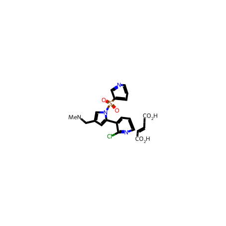 CNCc1cc(-c2cccnc2Cl)n(S(=O)(=O)c2cccnc2)c1.O=C(O)C=CC(=O)O